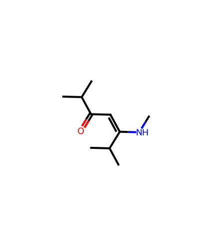 CNC(=CC(=O)C(C)C)C(C)C